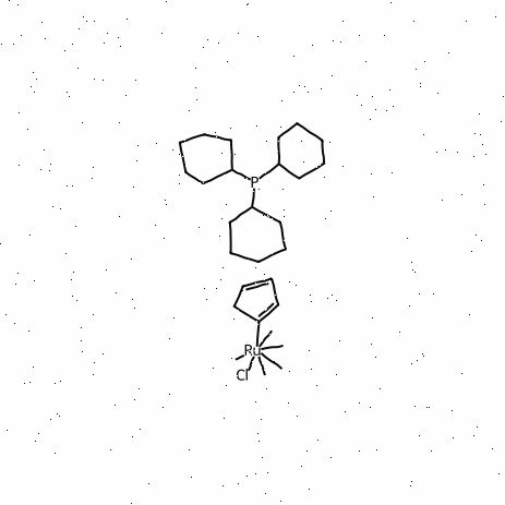 C1CCC(P(C2CCCCC2)C2CCCCC2)CC1.[CH3][Ru]([CH3])([CH3])([CH3])([CH3])([Cl])[C]1=CC=CC1